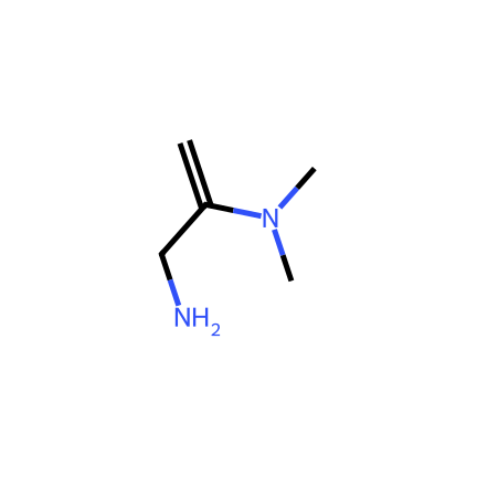 C=C(CN)N(C)C